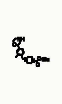 Cc1cc(C2CNCCO2)ccc1CN1CCN(C(=O)OC(C)(C)C)CC1